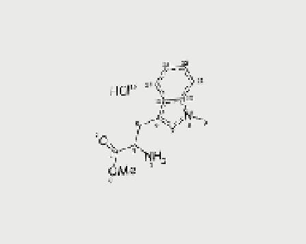 COC(=O)C(N)Cc1cn(C)c2ccccc12.Cl